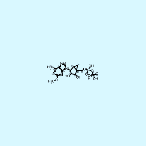 CSc1nc(N)c2ncn(C3C(O)C(O)C4(COP(=O)(O)OP(=O)(O)O)CC34)c2n1